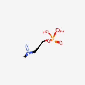 [CH2]NCCOP(=O)(O)O